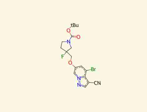 CC(C)(C)OC(=O)N1CCC(F)(COc2cc(Br)c3c(C#N)cnn3c2)C1